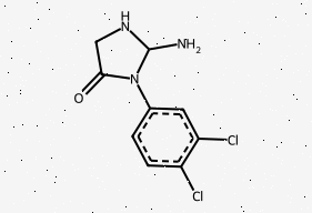 NC1NCC(=O)N1c1ccc(Cl)c(Cl)c1